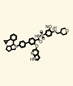 O=C(NS(=O)(=O)c1ccc(NCC2CCOCC2)c([N+](=O)[O-])c1)c1ccc(-c2ccc(N3CC4CCCC4C3c3ccccc3C3CC3)cc2)cc1Oc1cnc2[nH]ccc2c1